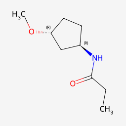 CCC(=O)N[C@@H]1CC[C@@H](OC)C1